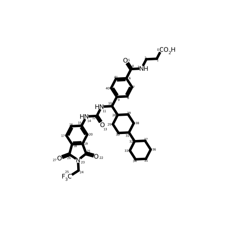 O=C(O)CCNC(=O)c1ccc(C(NC(=O)Nc2ccc3c(c2)C(=O)N(CC(F)(F)F)C3=O)C2CCC(C3CCCCC3)CC2)cc1